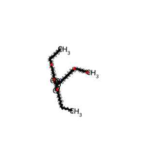 CCCCCC/C=C\CCCCCCCCCC(=O)OC[C@@H](COC(=O)CCCCCCCCCCC/C=C\CCCCCCCC)OC(=O)CCCCCCCCCCC/C=C\CCCCCCCC